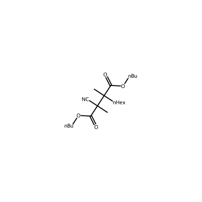 CCCCCCC(C)(C(=O)OCCCC)C(C)(C#N)C(=O)OCCCC